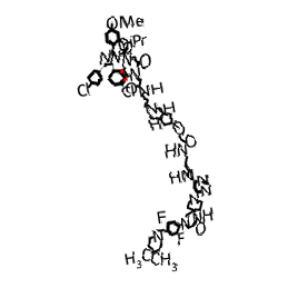 COc1ccc(C2=N[C@@H](c3ccc(Cl)cc3)[C@@H](c3ccc(Cl)cc3)N2C(=O)N2CCN(CC(=O)NCCCN3C[C@H]4C[C@@H](OCC(=O)NCCCNc5cc(N6CCC7(CC6)CN(c6cc(F)c(CN8CCC(C)(C)CC8)cc6F)CC(=O)N7)ncn5)C[C@H]4C3)C(=O)C2)c(OC(C)C)c1